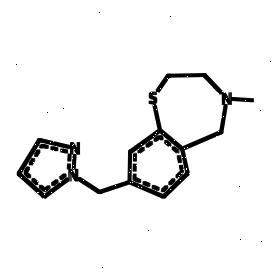 CN1CCSc2cc(Cn3cccn3)ccc2C1